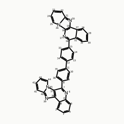 c1ccc2c(c1)nc(-c1ccc(-c3ccc(-c4nc5c(nc6ccccn65)c5ccccc45)cc3)cc1)c1c2nc2ccccn21